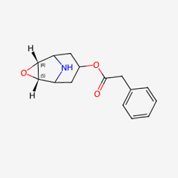 O=C(Cc1ccccc1)OC1CC2NC(C1)[C@@H]1O[C@H]21